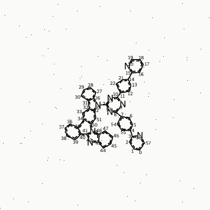 c1ccc(-c2ccc(-c3nc(-c4ccc(-c5ccccn5)cc4)nc(-n4c5ccccc5c5cc6c7ccccc7c7nc8ccccc8n7c6cc54)n3)cc2)nc1